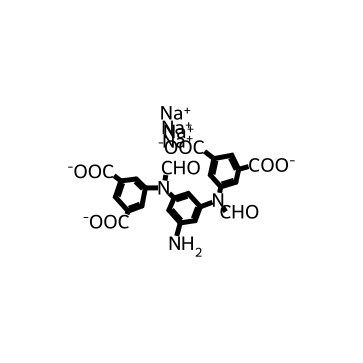 Nc1cc(N(C=O)c2cc(C(=O)[O-])cc(C(=O)[O-])c2)cc(N(C=O)c2cc(C(=O)[O-])cc(C(=O)[O-])c2)c1.[Na+].[Na+].[Na+].[Na+]